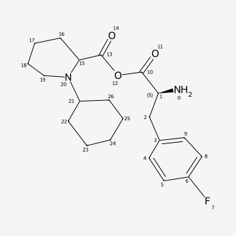 N[C@@H](Cc1ccc(F)cc1)C(=O)OC(=O)C1CCCCN1C1CCCCC1